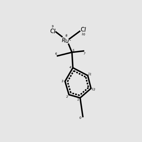 Cc1ccc([C](C)(C)[Ru-]([Cl])[Cl])cc1